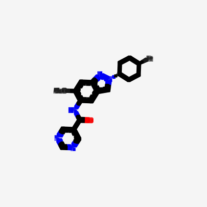 CC[C@H]1CC[C@H](n2cc3cc(NC(=O)c4cncnc4)c(OC)cc3n2)CC1